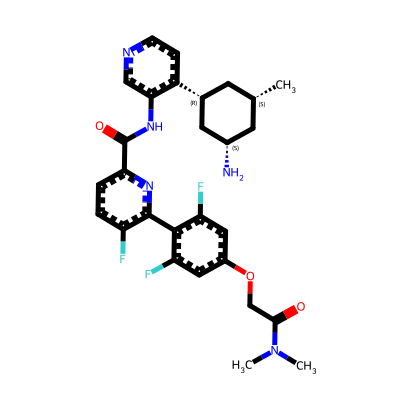 C[C@@H]1C[C@H](N)C[C@H](c2ccncc2NC(=O)c2ccc(F)c(-c3c(F)cc(OCC(=O)N(C)C)cc3F)n2)C1